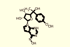 C[C@@](O)(c1ccc(Cl)cc1)C1O[C@@H](n2ccc3/c(=N/O)nc[nH]c32)[C@H](O)[C@@H]1O.Cl